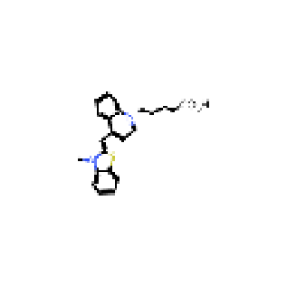 CN1/C(=C/c2cc[n+](CCCCC(=O)O)c3ccccc23)Sc2ccccc21